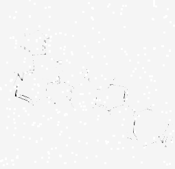 Fc1cccc(F)c1-c1nccc2cnc(Nc3ccc(N4CCNCC4)cc3)nc12